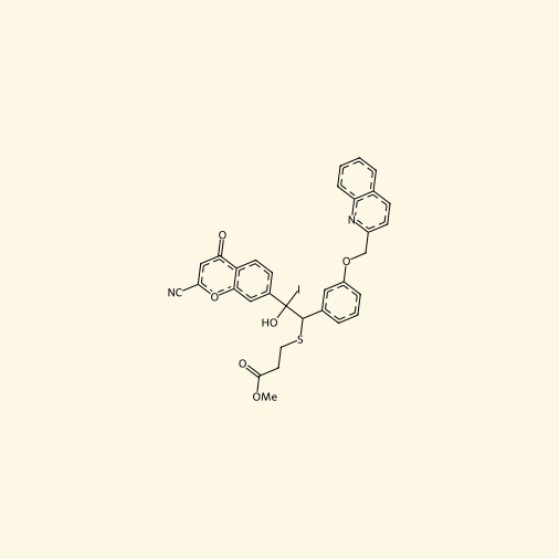 COC(=O)CCSC(c1cccc(OCc2ccc3ccccc3n2)c1)C(O)(I)c1ccc2c(=O)cc(C#N)oc2c1